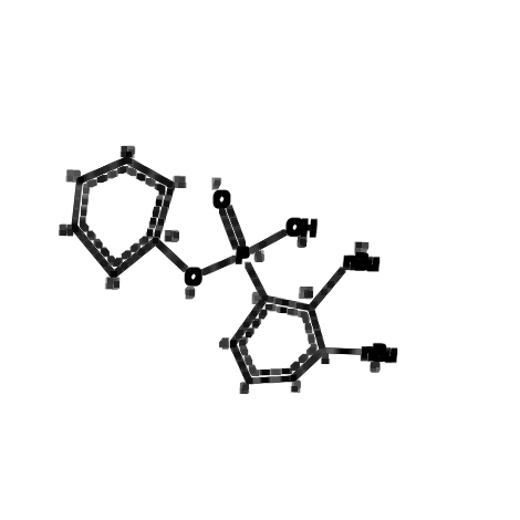 CCCCc1cccc(P(=O)(O)Oc2ccccc2)c1CCCC